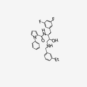 CCc1cccc(CNC[C@H](O)[C@H](Cc2cc(F)cc(F)c2)NC(=O)c2cccn2-c2ccccc2)c1